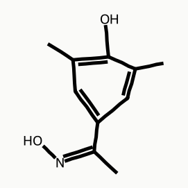 C/C(=N/O)c1cc(C)c(O)c(C)c1